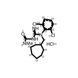 CNC(=O)NC(=N)N(CC1CCCCCC1)c1c(Cl)cccc1Cl.Cl